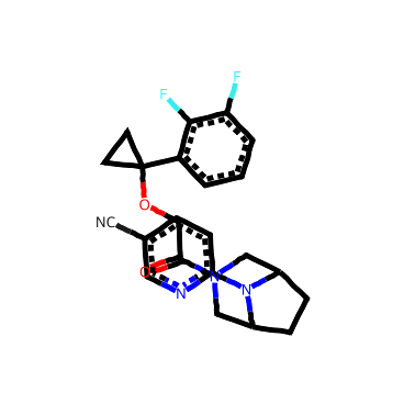 N#Cc1ccc(N2C3CCC2CN(C(=O)COC2(c4cccc(F)c4F)CC2)C3)nc1